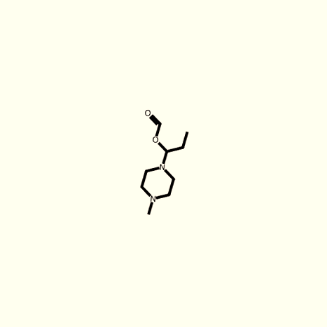 CCC(OC=O)N1CCN(C)CC1